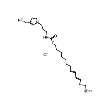 CCCCCCCCCCCCC=CC=CCCCCCCCCC(=O)NCCCn1cc[n+](CC#N)c1.[Cl-]